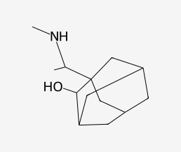 CNC(C)C12CC3CC(CC(C3)C1O)C2